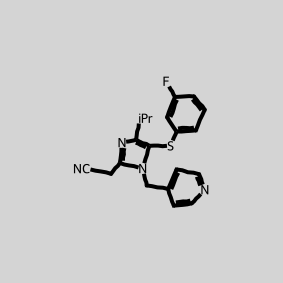 CC(C)c1nc(CC#N)n(Cc2ccncc2)c1Sc1cccc(F)c1